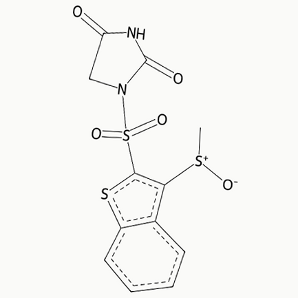 C[S+]([O-])c1c(S(=O)(=O)N2CC(=O)NC2=O)sc2ccccc12